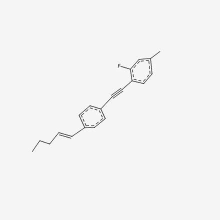 CCCC=Cc1ccc(C#Cc2ccc(C)cc2F)cc1